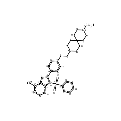 O=C(O)N1CCC2(CCN(CCc3ccc(-c4cc5c(Cl)ncnc5n4S(=O)(=O)c4ccccc4)cc3)CC2)CC1